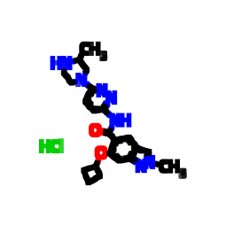 CC1CN(c2ccc(NC(=O)c3cc4cn(C)nc4cc3OC3CCC3)nn2)CCN1.Cl